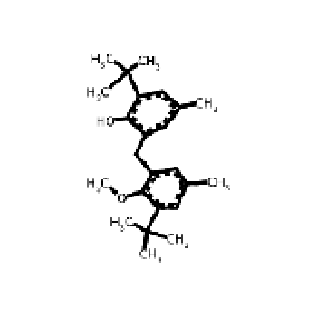 COc1c(Cc2cc(C)cc(C(C)(C)C)c2O)cc(C)cc1C(C)(C)C